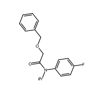 CC(C)N(C(=O)COCc1ccccc1)c1ccc(F)cc1